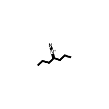 CCCC(CCC)=[N+]=[N-]